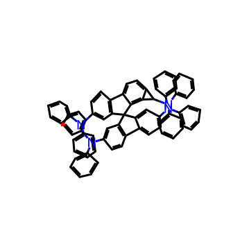 c1ccc(N(c2ccccc2)c2ccc3c(c2)C2(c4cc(N(c5ccccc5)c5ccccc5)ccc4-3)c3cc(N(c4ccccc4)c4ccccc4)ccc3-c3ccc4c(c32)C4N(c2ccccc2)c2ccccc2)cc1